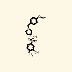 Cc1ccc(S(=O)(=O)N[C@@H]2CCN(Cc3ccc(OC(C)C)cc3)C2)cc1C#N